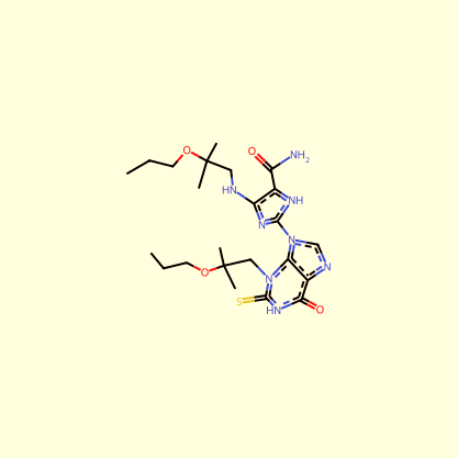 CCCOC(C)(C)CNc1nc(-n2cnc3c(=O)[nH]c(=S)n(CC(C)(C)OCCC)c32)[nH]c1C(N)=O